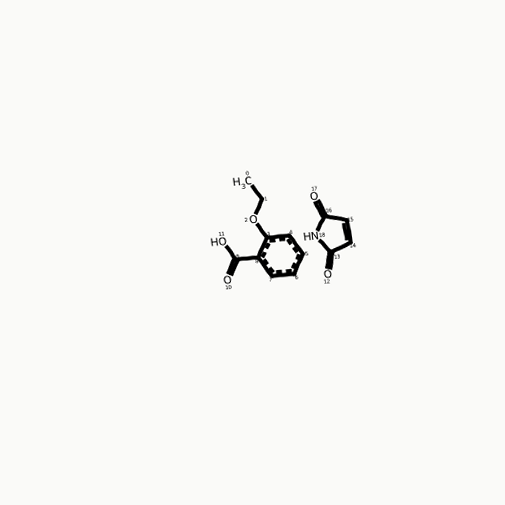 CCOc1ccccc1C(=O)O.O=C1C=CC(=O)N1